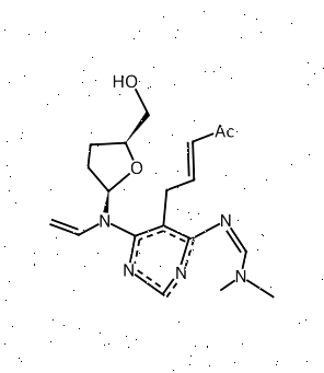 C=CN(c1ncnc(/N=C\N(C)C)c1C/C=C/C(C)=O)[C@H]1CC[C@@H](CO)O1